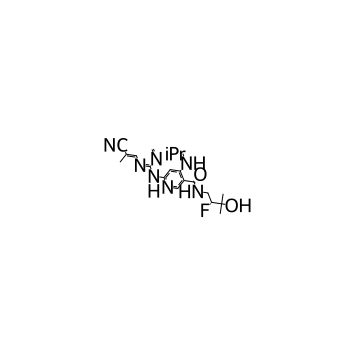 C=N/C(=N\C=C(/C)C#N)Nc1cc(NC(C)C)c(C(=O)NC[C@@H](F)C(C)(C)O)cn1